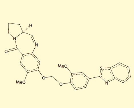 COc1cc(-c2nc3ccccc3s2)ccc1OCOc1cc2c(cc1OC)C(=O)N1CCC[C@H]1C=N2